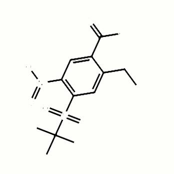 CCc1cc(S(=O)(=O)C(C)(C)C)c([N+](=O)[O-])cc1C(=O)Cl